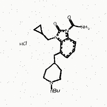 CCCCN1CCC(Cc2cccc3c2n(CC2CC2)c(=O)n3C(N)=O)CC1.Cl